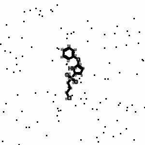 O=S(=O)(CCCCl)c1ccc(Oc2ccccc2)[nH]1